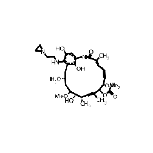 CO[C@H]1/C=C\C=C(/C)C(=O)Nc2cc(O)c(NCCN3CC3)c(c2O)C[C@@H](C)C[C@H](OC)[C@H](O)[C@@H](C)/C=C(\C)[C@@H]1OC(N)=O